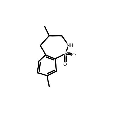 Cc1ccc2c(c1)S(=O)(=O)NCC(C)C2